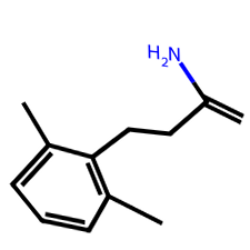 C=C(N)CCc1c(C)cccc1C